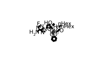 C#C[C@]1(CO[P@@](=O)(N[C@@H](C)C(=O)OC(CCCCCC)CCCCCC)Oc2ccccc2)O[C@@H](n2cnc3c(N)nc(F)nc32)C[C@@H]1O